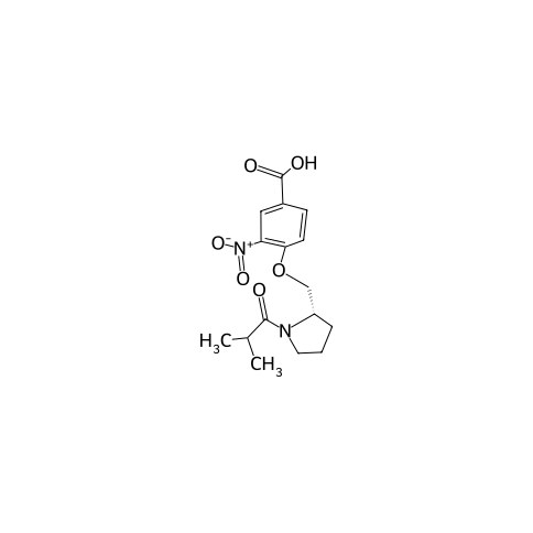 CC(C)C(=O)N1CCC[C@H]1COc1ccc(C(=O)O)cc1[N+](=O)[O-]